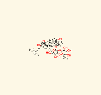 CC(C)=CCC[C@](C)(O)[C@H]1CC[C@]2(C)[C@@H]1[C@H](O)C[C@@H]1[C@@]3(C)CC[C@H](O)C(C)(C)[C@@H]3[C@@H](O[C@@H]3OC(CO)[C@@H](O)C(O)C3O[C@@H]3OC(C)[C@H](O)C(O)C3O)C[C@]12C